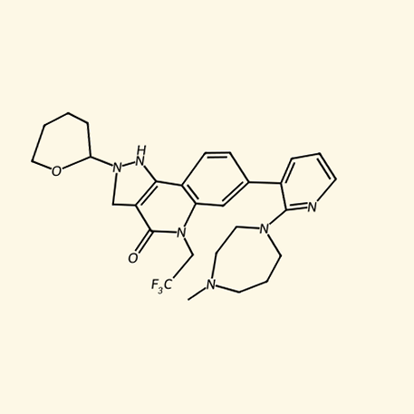 CN1CCCN(c2ncccc2-c2ccc3c4c(c(=O)n(CC(F)(F)F)c3c2)CN(C2CCCCO2)N4)CC1